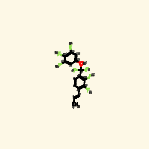 CC=Cc1ccc(C(F)(F)Oc2cc(F)c(F)c(F)c2)c(F)c1F